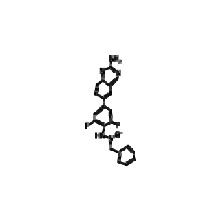 Nc1ncc2cc(-c3cc(F)c(N[S+]([O-])Cc4ccccc4)c(F)c3)ccc2n1